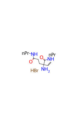 Br.C=CC(N)(CCC(=O)NCCC)C(=O)NCCC